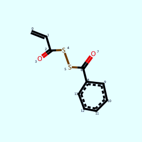 C=CC(=O)SSC(=O)c1ccccc1